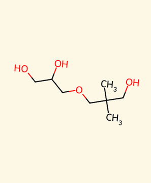 CC(C)(CO)COCC(O)CO